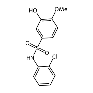 COc1ccc(S(=O)(=O)Nc2ccccc2Cl)cc1O